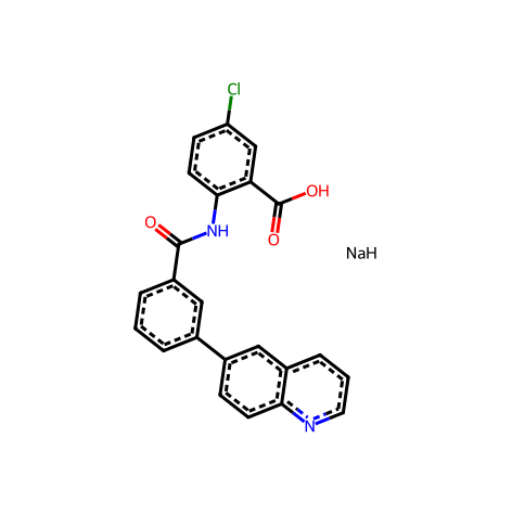 O=C(Nc1ccc(Cl)cc1C(=O)O)c1cccc(-c2ccc3ncccc3c2)c1.[NaH]